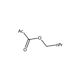 CCCCOC(=O)C(C)=O